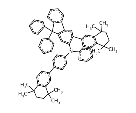 CC1(C)CCC(C)(C)c2cc(-c3ccc(N(c4ccccc4)c4cc5c(cc4-c4ccc6c(c4)C(C)(C)CCC6(C)C)-c4ccccc4C5(c4ccccc4)c4ccccc4)cc3)ccc21